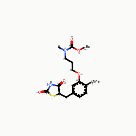 COc1ccc(CC2SC(=O)NC2=O)cc1OCCCN(C)C(=O)OC(C)(C)C